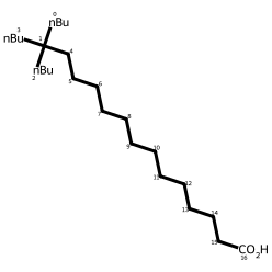 CCCCC(CCCC)(CCCC)CCCCCCCCCCCCC(=O)O